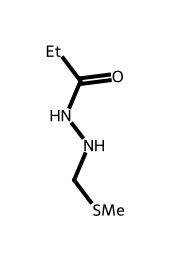 CCC(=O)NNCSC